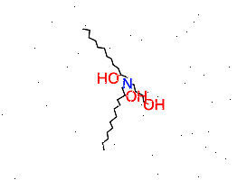 CCCCCCCCCCC(O)CN(CCCCO)CC(O)CCCCCCCCCC